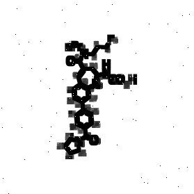 CCCN(CCCF)C(=O)C1=Cc2ccc(-c3ccc(C(=O)N4CCCC4)cc3)cc2N=C(NC(=O)O)C1